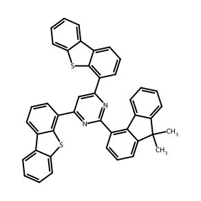 CC1(C)c2ccccc2-c2c(-c3nc(-c4cccc5c4sc4ccccc45)cc(-c4cccc5c4sc4ccccc45)n3)cccc21